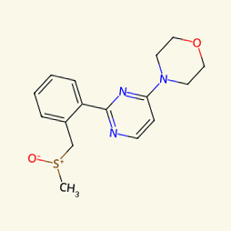 C[S+]([O-])Cc1ccccc1-c1nccc(N2CCOCC2)n1